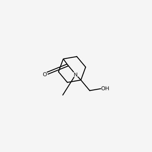 CN1C(=O)C2CCC1(CO)CC2